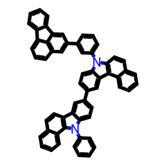 c1ccc(-n2c3ccc(-c4ccc5c(c4)c4c6ccccc6ccc4n5-c4cccc(-c5cc6c7c(cccc7c5)-c5ccccc5-6)c4)cc3c3ccc4ccccc4c32)cc1